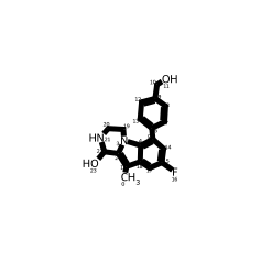 Cc1c2n(c3c(-c4ccc(CO)cc4)cc(F)cc13)CCNC2O